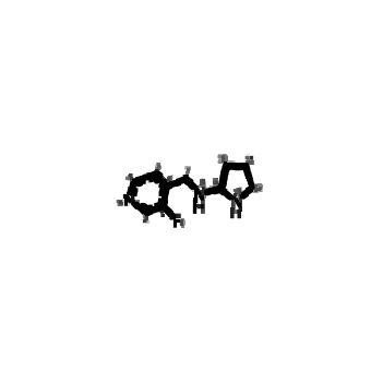 Fc1cnccc1CNC1CCCN1